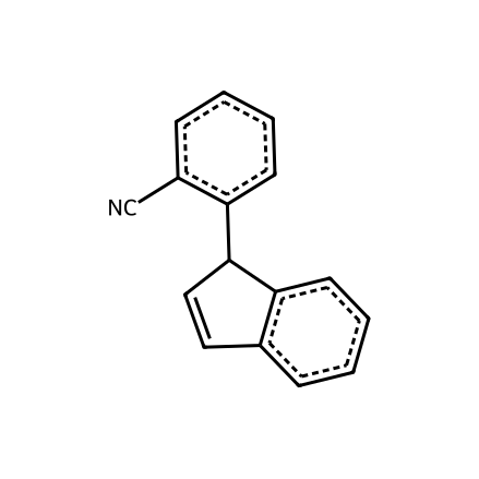 N#Cc1ccccc1C1C=Cc2ccccc21